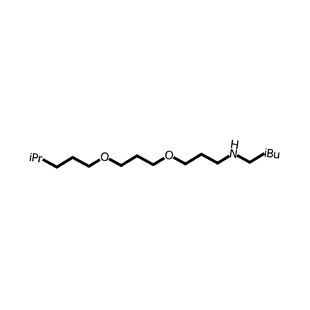 CCC(C)CNCCCOCCCOCCCC(C)C